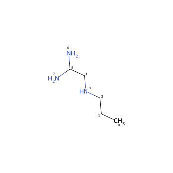 CCCNCC(N)N